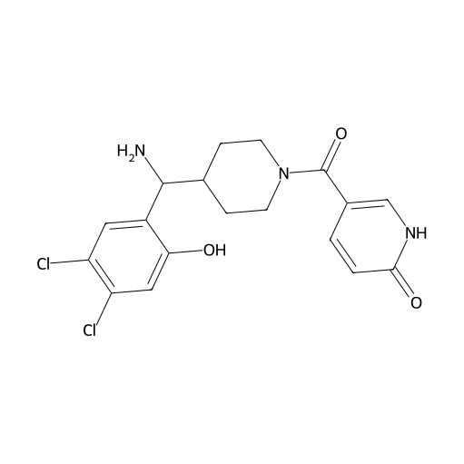 NC(c1cc(Cl)c(Cl)cc1O)C1CCN(C(=O)c2ccc(=O)[nH]c2)CC1